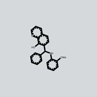 COc1ccccc1NC(c1ccccc1)c1ccc2cccnc2c1O